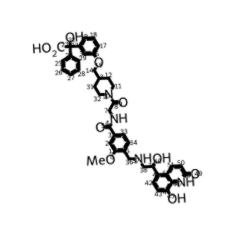 COc1cc(C(=O)NCC(=O)N2CCC(COc3cccc(C(O)(C(=O)O)c4ccccc4)c3)CC2)ccc1CNCC(O)c1ccc(O)c2[nH]c(=O)ccc12